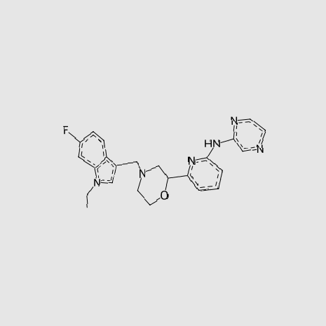 CCn1cc(CN2CCOC(c3cccc(Nc4cnccn4)n3)C2)c2ccc(F)cc21